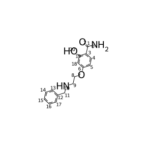 NC(=O)c1ccc(OCCNCc2ccccc2)cc1O